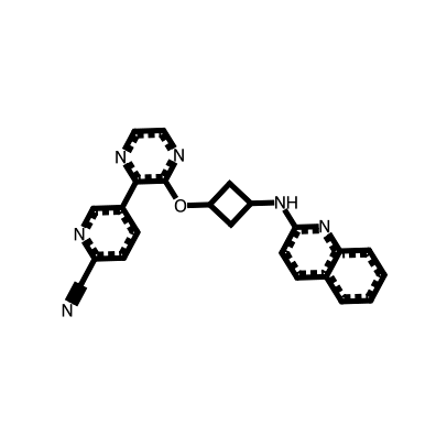 N#Cc1ccc(-c2nccnc2OC2CC(Nc3ccc4ccccc4n3)C2)cn1